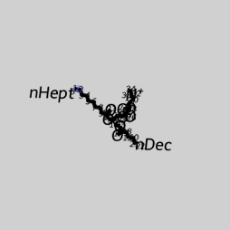 CCCCCCC/C=C\CCCCCCCC(=O)O[C@H](COC(=O)CCCCCCCCCCCCCC)COP(=O)([O-])OCC[N+](C)(C)C